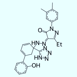 CCC1=NN(c2ccc(C)c(C)c2)C(=O)C1=NNC1(c2nnn[nH]2)C=CC=C(c2ccccc2O)C1